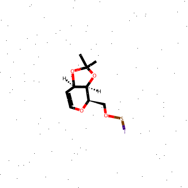 CC1(C)O[C@@H]2[C@@H](C=CO[C@@H]2COSI)O1